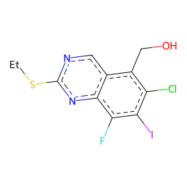 CCSc1ncc2c(CO)c(Cl)c(I)c(F)c2n1